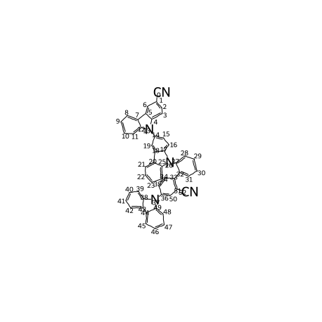 N#Cc1ccc2c(c1)c1ccccc1n2-c1ccc2c(c1)c1ccccc1n2-c1ccccc1-c1ccc(-n2c3ccccc3c3ccccc32)cc1C#N